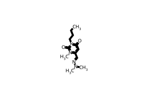 CCCCn1c(=O)cc(C=NN(C)C)n(C)c1=O